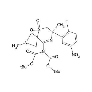 CN1CC2(C1)C(N(C(=O)OC(C)(C)C)C(=O)OC(C)(C)C)=N[C@](C)(c1cc([N+](=O)[O-])ccc1F)CS2(=O)=O